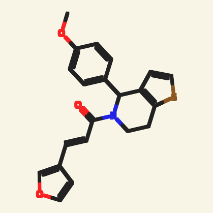 COc1ccc(C2c3ccsc3CCN2C(=O)C=Cc2ccoc2)cc1